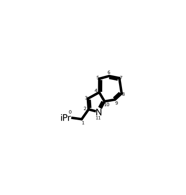 CC(C)Cc1cc2cccccc-2n1